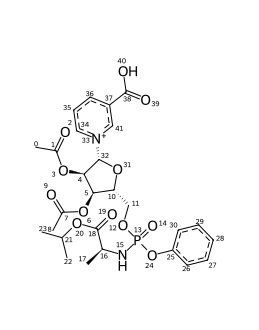 CC(=O)O[C@@H]1[C@H](OC(C)=O)[C@@H](COP(=O)(N[C@@H](C)C(=O)OC(C)C)Oc2ccccc2)O[C@H]1[n+]1cccc(C(=O)O)c1